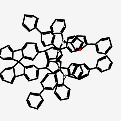 c1ccc(-c2ccc(N(c3ccccc3)c3cc(-c4ccc5c(c4)C4(c6ccccc6-5)c5ccccc5-c5ccc(-c6cc(N(c7ccccc7)c7ccc(-c8ccccc8)cc7)cc(N(c7ccccc7)c7ccc(-c8ccccc8)cc7)c6)cc54)cc(N(c4ccccc4)c4ccc(-c5ccccc5)cc4)c3)cc2)cc1